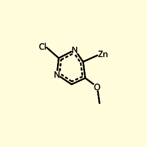 COc1cnc(Cl)n[c]1[Zn]